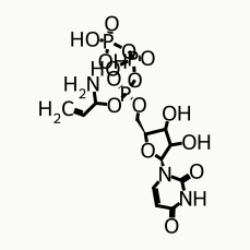 C=CC(N)OP(=O)(OC[C@@H]1O[C@H](n2ccc(=O)[nH]c2=O)C(O)C1O)OP(=O)(O)OP(=O)(O)O